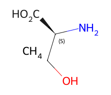 C.N[C@@H](CO)C(=O)O